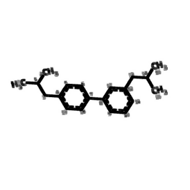 CC(C)Cc1ccc(-c2cccc(CC(C)C)c2)cc1